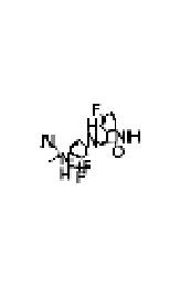 CC(CN(C)C)Nc1ccc(N/C=C2/C(=O)Nc3ccc(F)cc32)cc1C(F)(F)F